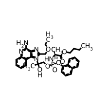 CCCCOC(=O)[C@H](C)NP(=O)(OCC(C)(O)n1c(COCC)nc2c(N)nc3ccccc3c21)Oc1cccc2ccccc12